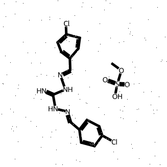 COS(=O)(=O)O.N=C(NN=Cc1ccc(Cl)cc1)NN=Cc1ccc(Cl)cc1